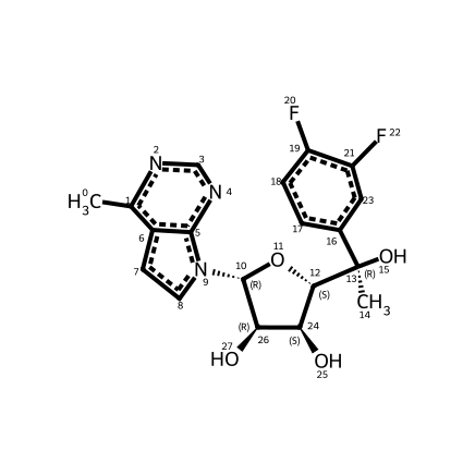 Cc1ncnc2c1ccn2[C@@H]1O[C@H]([C@](C)(O)c2ccc(F)c(F)c2)[C@@H](O)[C@H]1O